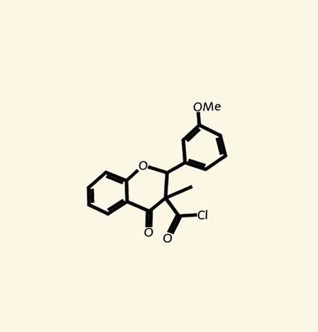 COc1cccc(C2Oc3ccccc3C(=O)C2(C)C(=O)Cl)c1